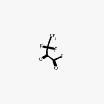 O=C(F)C(=O)C(F)(F)C(F)(F)F